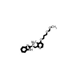 COCOCCCOc1ccnc(C[S+]([O-])c2nc3ccccc3[nH]2)c1C